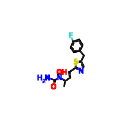 CC(/C=C/c1ncc(Cc2ccc(F)cc2)s1)N(O)C(N)=O